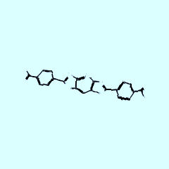 O=C(O)c1ccc(-c2nc3nc4nc(-c5ccc(C(=O)O)cc5)oc4cc3o2)cc1